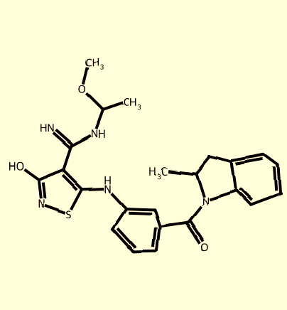 COC(C)NC(=N)c1c(O)nsc1Nc1cccc(C(=O)N2c3ccccc3CC2C)c1